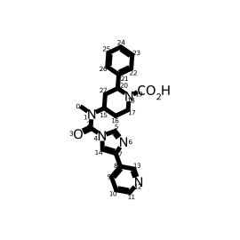 CN(C(=O)n1cnc(-c2cccnc2)c1)C1CCN(C(=O)O)C(c2ccccc2)C1